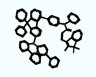 C=C(/C=C\C1=C(C)C(C)(C)c2ccccc21)N(c1ccccc1)c1ccc(-c2cccc3c2-c2ccc(N(c4ccc(-c5ccccc5)cc4)c4ccccc4-c4ccccc4)cc2C3(c2ccccc2)c2ccccc2)cc1